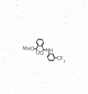 COC(=O)c1ccccc1C(=O)Nc1cccc(C(F)(F)F)c1